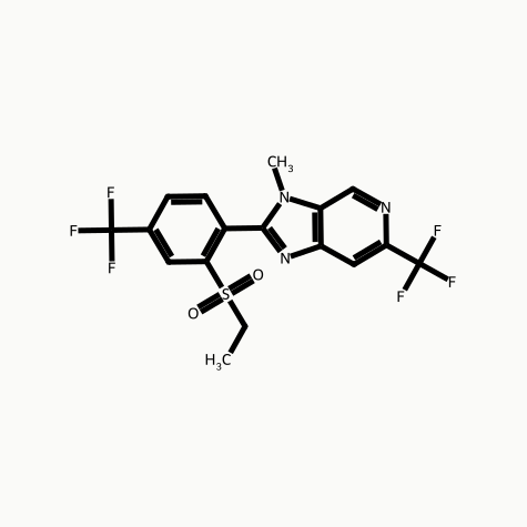 CCS(=O)(=O)c1cc(C(F)(F)F)ccc1-c1nc2cc(C(F)(F)F)ncc2n1C